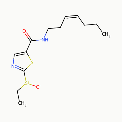 CCC/C=C\CCNC(=O)c1cnc([S+]([O-])CC)s1